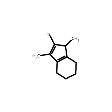 CC1=[C]([Ti])C(C)C2=C1CCCC2